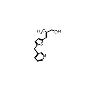 C/C(=C\c1ccc(Cc2cccnc2)s1)CO